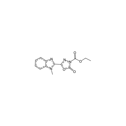 CCOC(=O)n1nc(-c2nc3ccccc3n2C)oc1=O